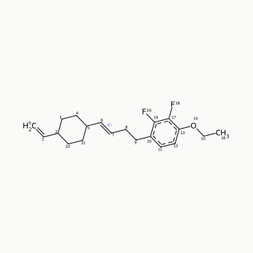 C=CC1CCC(/C=C/CCc2ccc(OCC)c(F)c2F)CC1